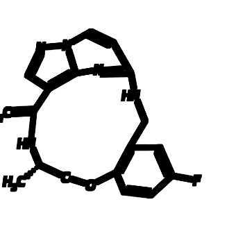 C=C1N[C@@H](C)COc2ccc(F)cc2CNc2ccn3ncc1c3n2